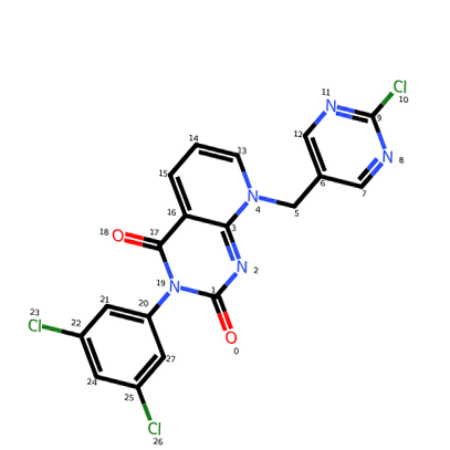 O=c1nc2n(Cc3cnc(Cl)nc3)cccc-2c(=O)n1-c1cc(Cl)cc(Cl)c1